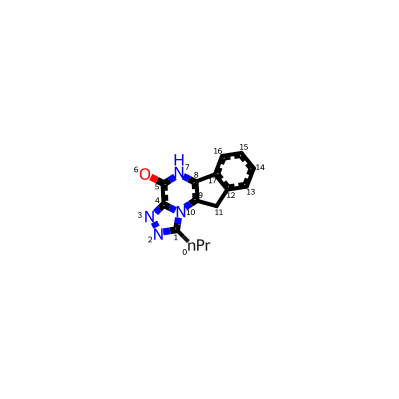 CCCc1nnc2c(=O)[nH]c3c(n12)Cc1ccccc1-3